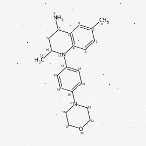 Cc1ccc2c(c1)C(N)CC(C)N2c1ccc(N2CCOCC2)cc1